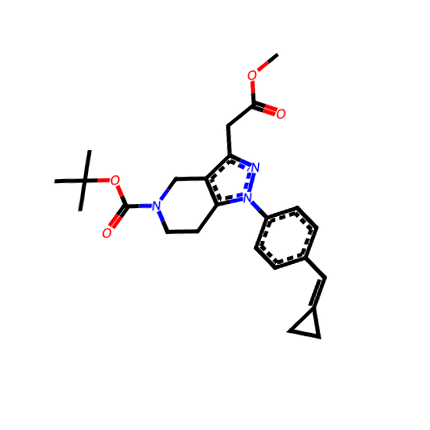 COC(=O)Cc1nn(-c2ccc(C=C3CC3)cc2)c2c1CN(C(=O)OC(C)(C)C)CC2